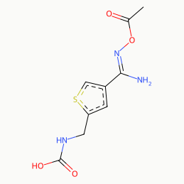 CC(=O)ON=C(N)c1csc(CNC(=O)O)c1